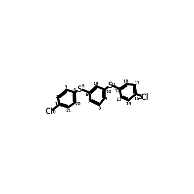 Clc1ccc(Sc2cccc(Sc3ccc(Cl)cc3)c2)cc1